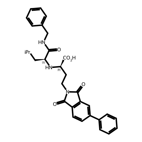 CC(C)C[C@H](N[C@H](CCN1C(=O)c2ccc(-c3ccccc3)cc2C1=O)C(=O)O)C(=O)NCc1ccccc1